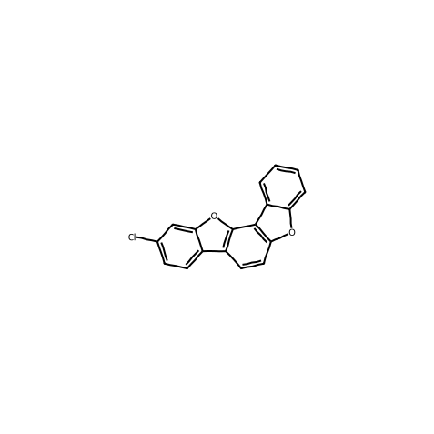 Clc1ccc2c(c1)oc1c2ccc2oc3ccccc3c21